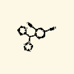 N#Cc1ccc(C(c2ccco2)n2cncn2)c(C#N)c1